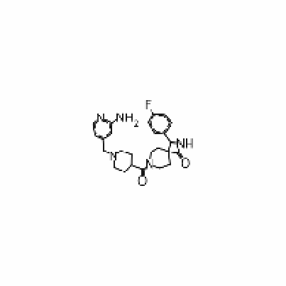 Nc1cc(CN2CCC(C(=O)N3CCC4(CC3)C(=O)NC4c3ccc(F)cc3)CC2)ccn1